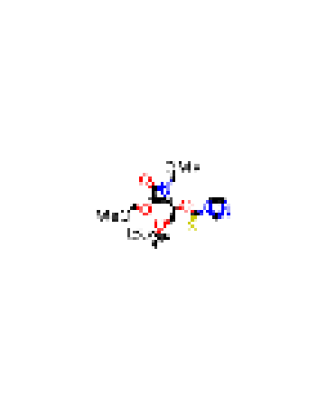 COCO[C@H]1C(=O)N(COC)[C@H]1C(CO[Si](C)(C)C(C)(C)C)OC(=S)n1ccnc1